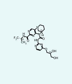 C[C@@H](NC(=O)c1ncc2c(n1)N(C(=O)Nc1nccc(OC[C@@H](O)CO)n1)[C@H]1CCCN2C1)C(F)(F)F